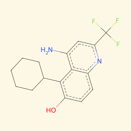 Nc1cc(C(F)(F)F)nc2ccc(O)c(C3CCCCC3)c12